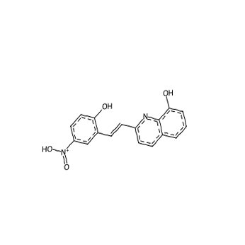 O=[N+](O)c1ccc(O)c(/C=C/c2ccc3cccc(O)c3n2)c1